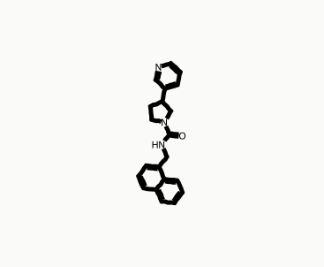 O=C(NCc1cccc2ccccc12)N1CCC(c2cccnc2)C1